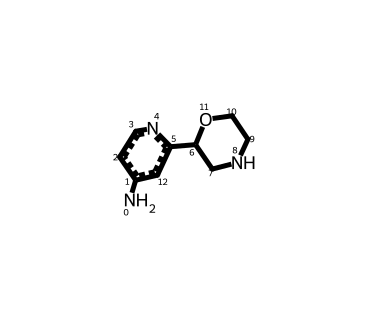 Nc1ccnc(C2CNCCO2)c1